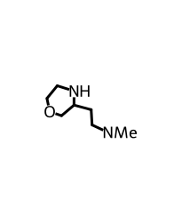 CNCCC1COCCN1